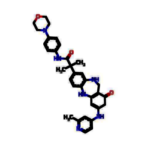 Cc1cc(NC2=CC3=C(CNc4cc(C(C)(C)C(=O)Nc5ccc(N6CCOCC6)cc5)ccc4N3)C(=O)C2)ccn1